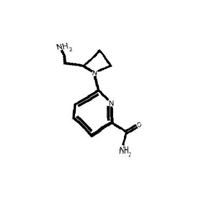 NCC1CCN1c1cccc(C(N)=O)n1